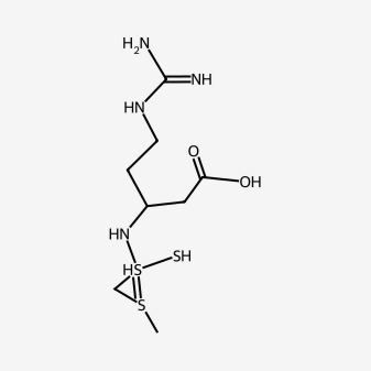 CS1=[SH](S)(NC(CCNC(=N)N)CC(=O)O)C1